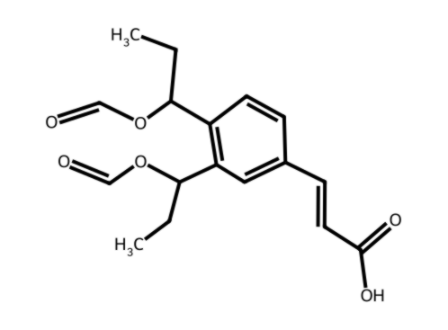 CCC(OC=O)c1ccc(/C=C/C(=O)O)cc1C(CC)OC=O